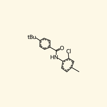 Cc1ccc(NC(=O)c2ccc(C(C)(C)C)cc2)c(Cl)c1